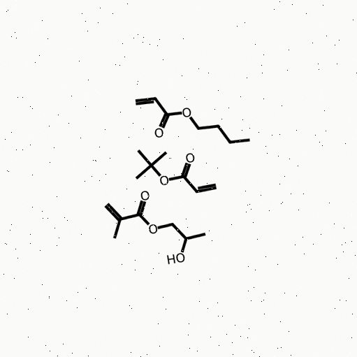 C=C(C)C(=O)OCC(C)O.C=CC(=O)OC(C)(C)C.C=CC(=O)OCCCC